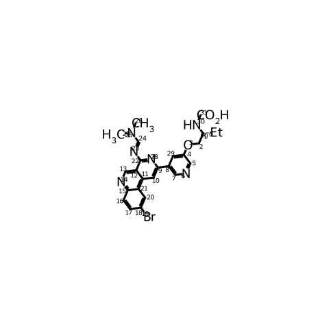 CC[C@H](COc1cncc(-c2cc3c(cnc4ccc(Br)cc43)c(N=CN(C)C)n2)c1)NC(=O)O